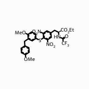 CCOC(=O)[C@H](Cc1cc([N+](=O)[O-])c(Sc2ccc(OC)c(Cc3ccc(OC)cc3)c2)c([N+](=O)[O-])c1)NC(=O)C(F)(F)F